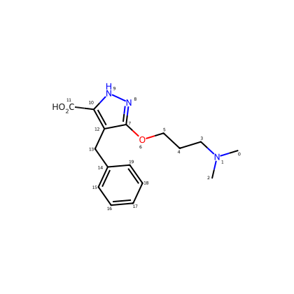 CN(C)CCCOc1n[nH]c(C(=O)O)c1Cc1ccccc1